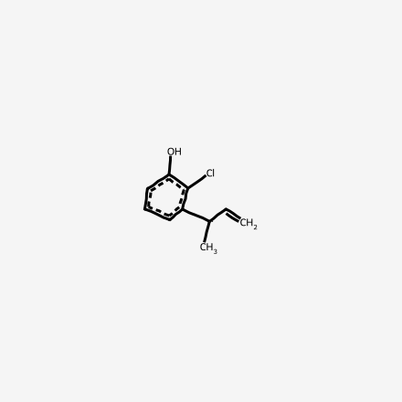 C=C[C](C)c1cccc(O)c1Cl